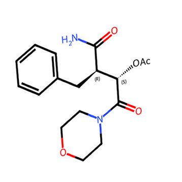 CC(=O)O[C@H](C(=O)N1CCOCC1)[C@@H](Cc1ccccc1)C(N)=O